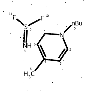 CCCCN1C=CC(C)=CC1.N=S(F)F